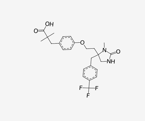 CN1C(=O)NCC1(CCOc1ccc(CC(C)(C)C(=O)O)cc1)Cc1ccc(C(F)(F)F)cc1